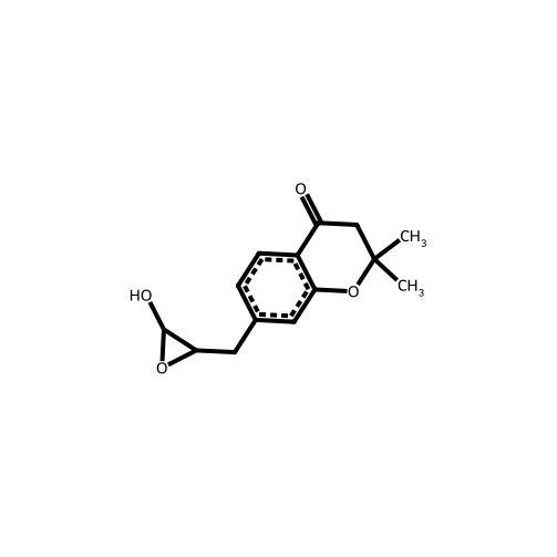 CC1(C)CC(=O)c2ccc(CC3OC3O)cc2O1